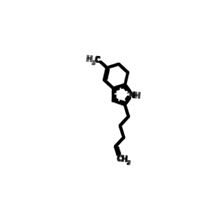 C=CCCCc1cc2c([nH]1)CCC(C)=C2